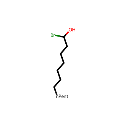 CCCCCCCCCCCC(O)Br